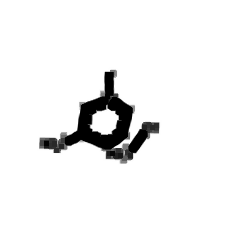 C[n+]1cccc(C(=O)O)c1.O=S(=O)(O)O